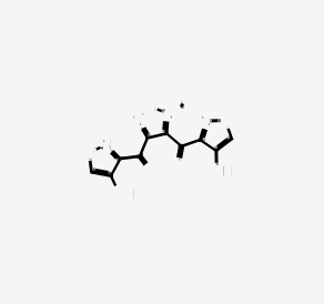 Cc1conc1C(=O)c1no[n+]([O-])c1C(=O)c1nocc1C